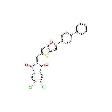 O=C1C(=Cc2cc3oc(-c4ccc(-c5ccccc5)cc4)cc3s2)C(=O)c2cc(Cl)c(Cl)cc21